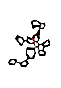 c1ccc(-c2cccc(-c3ccc(N(c4cccc(-c5ccccc5)c4)c4c(-c5cccc(-c6cccc7ccccc67)c5)c5ccccc5c5ccccc45)cc3)c2)cc1